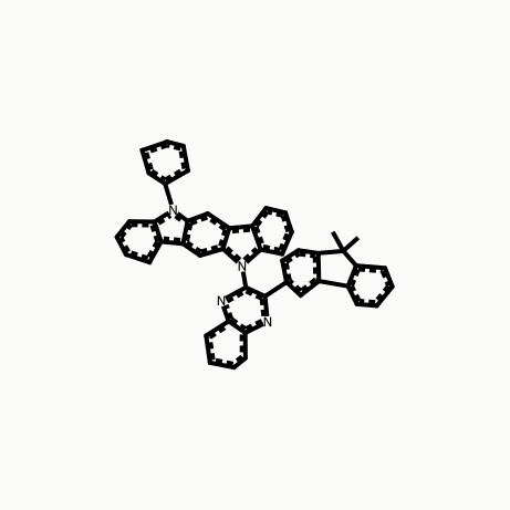 CC1(C)c2ccccc2-c2cc(-c3nc4ccccc4nc3-n3c4ccccc4c4cc5c(cc43)c3ccccc3n5-c3ccccc3)ccc21